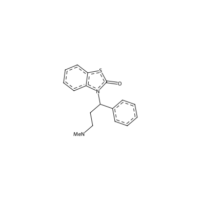 CNCCC(c1ccccc1)n1c(=O)sc2ccccc21